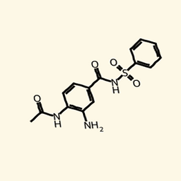 CC(=O)Nc1ccc(C(=O)NS(=O)(=O)c2ccccc2)cc1N